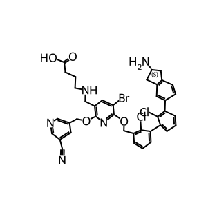 N#Cc1cncc(COc2nc(OCc3cccc(-c4cccc(-c5ccc6c(c5)C[C@@H](N)C6)c4Cl)c3Cl)c(Br)cc2CNCCCC(=O)O)c1